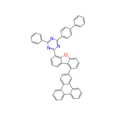 c1ccc(-c2ccc(-c3nc(-c4ccccc4)nc(-c4cccc5c4oc4cccc(-c6ccc7c8ccccc8c8ccccc8c7c6)c45)n3)cc2)cc1